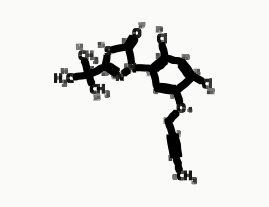 CC#CCOc1cc(-n2nc(C(C)(C)C)sc2=O)c(Cl)cc1Cl